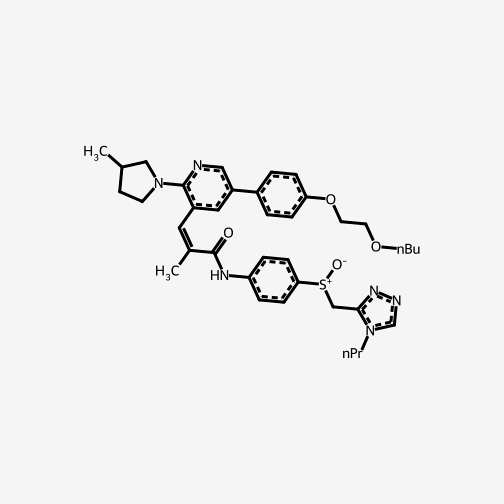 CCCCOCCOc1ccc(-c2cnc(N3CCC(C)C3)c(C=C(C)C(=O)Nc3ccc([S+]([O-])Cc4nncn4CCC)cc3)c2)cc1